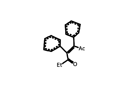 CCC(=O)/C(=C(\C(C)=O)c1ccccc1)c1ccccc1